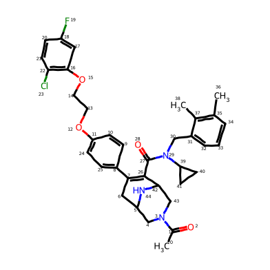 CC(=O)N1CC2CC(c3ccc(OCCOc4cc(F)ccc4Cl)cc3)=C(C(=O)N(Cc3cccc(C)c3C)C3CC3)C(C1)N2